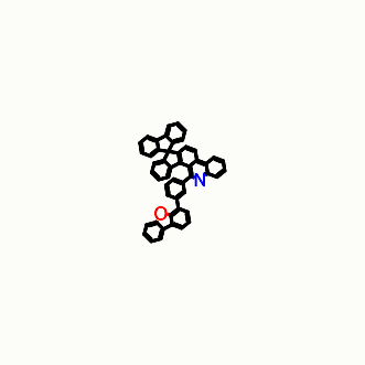 c1cc(-c2cccc3c2oc2ccccc23)cc(-c2nc3ccccc3c3ccc4c(c23)-c2ccccc2C42c3ccccc3-c3ccccc32)c1